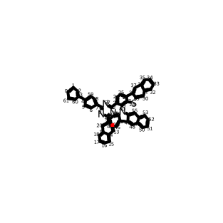 c1ccc(-c2ccc(-c3nc(-c4ccc5ccccc5c4)nc(-c4ccc5c(sc6cc7ccccc7cc65)c4-n4c5ccccc5c5cc6ccccc6cc54)n3)cc2)cc1